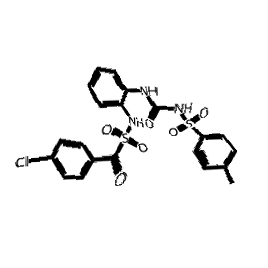 Cc1ccc(S(=O)(=O)NC(=O)Nc2ccccc2NS(=O)(=O)C(=O)c2ccc(Cl)cc2)cc1